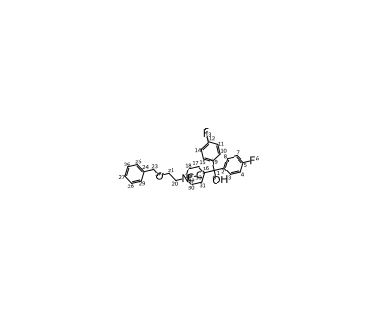 OC(c1ccc(F)cc1)(c1ccc(F)cc1)C12CC[N+](CCOCc3ccccc3)(CC1)CC2